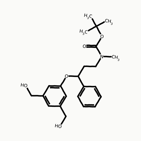 CN(CCC(Oc1cc(CO)cc(CO)c1)c1ccccc1)C(=O)OC(C)(C)C